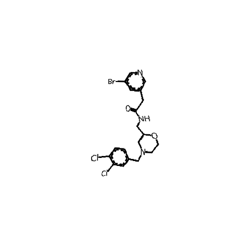 O=C(Cc1cncc(Br)c1)NCC1CN(Cc2ccc(Cl)c(Cl)c2)CCO1